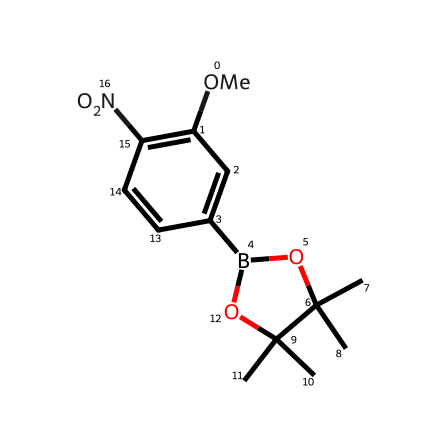 COc1cc(B2OC(C)(C)C(C)(C)O2)ccc1[N+](=O)[O-]